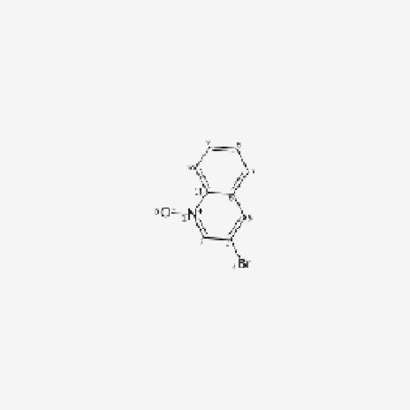 [O-][n+]1cc(Br)cc2ccccc21